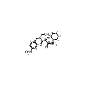 N#CCN(Cc1ccc([N+](=O)[O-])cc1)C(=O)C(CC1CCCCC1)C(N)=O